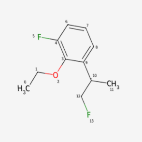 CCOc1c(F)cccc1[C](C)CF